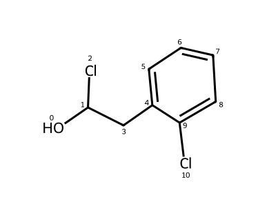 OC(Cl)Cc1ccccc1Cl